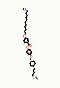 CCCCCCCCCCCCOc1ccc(C(=O)Oc2ccc(OC[C@H]3CC[C@H](CCCCC)CC3)cc2)c(F)c1